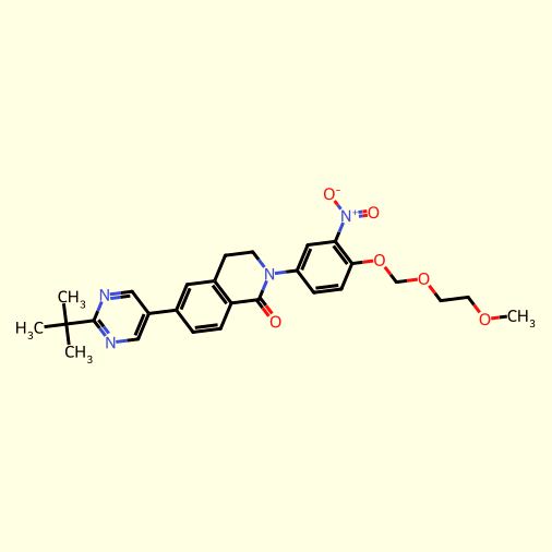 COCCOCOc1ccc(N2CCc3cc(-c4cnc(C(C)(C)C)nc4)ccc3C2=O)cc1[N+](=O)[O-]